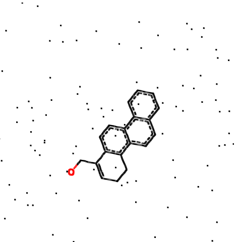 [O]CC1=CCCc2c1ccc1c2ccc2ccccc21